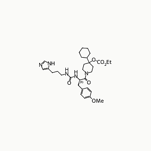 CCOC(=O)OC1(C2CCCCC2)CCN(C(=O)[C@@H](Cc2ccc(OC)cc2)NC(=O)NCCCc2cnc[nH]2)CC1